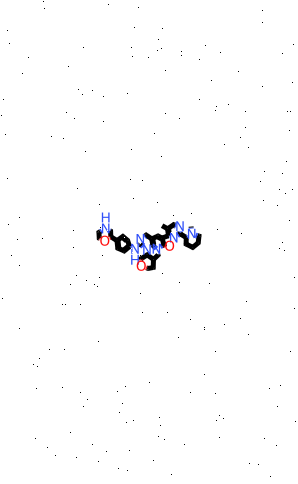 Cc1cnc(C2CCCCN2C)nc1-c1cc2cnc(Nc3ccc(C4CNCCO4)cc3)nc2n(CC2CCOCC2)c1=O